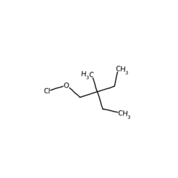 CCC(C)(CC)COCl